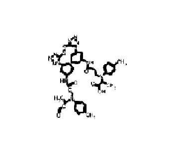 Cc1ccc(N(CCC(=O)Nc2cccc(-n3nnnc3SSc3nnnn3-c3cccc(NC(=O)CCN(c4ccc(C)cc4)C(C)C(=O)O)c3)c2)C(C)OC=O)cc1